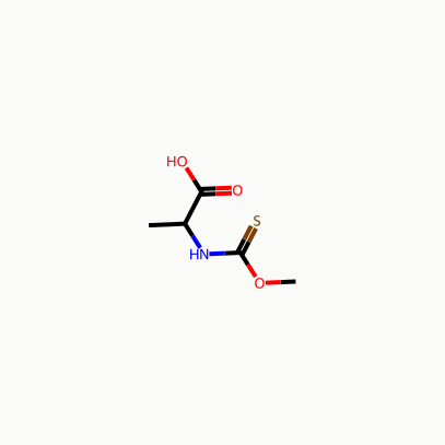 COC(=S)NC(C)C(=O)O